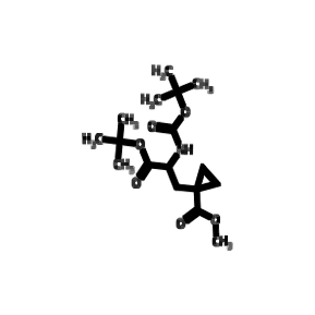 COC(=O)C1(CC(NC(=O)OC(C)(C)C)C(=O)OC(C)(C)C)CC1